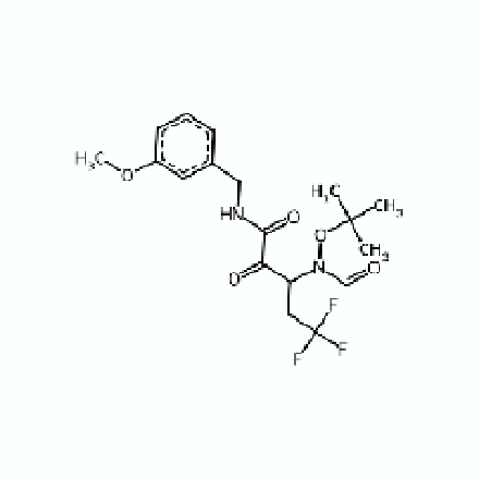 COc1cccc(CNC(=O)C(=O)C(CC(F)(F)F)N(C=O)OC(C)(C)C)c1